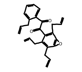 C=CCc1ccccc1C(=O)C(=O)c1c(CC=C)c(CC=C)c2c(c1CC=C)O2